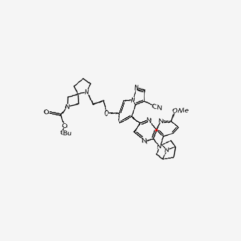 COc1ccc(CN2C3CC2CN(c2cnc(-c4cc(OCCN5CCCC56CN(C(=O)OC(C)(C)C)C6)cn5ncc(C#N)c45)cn2)C3)cn1